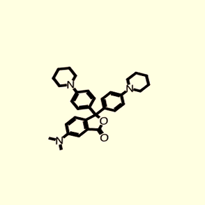 CN(C)c1ccc2c(c1)C(=O)OC2(c1ccc(N2CCCCC2)cc1)c1ccc(N2CCCCC2)cc1